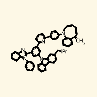 C=C1/C=C\C=C/CN(c2ccc(-c3cccc(-c4cc(-c5nc6ccccc6n5-c5ccccc5)cc(-n5c6ccccc6c6ccc(CC(C)C)cc65)c4)n3)cc2)c2ccccc21